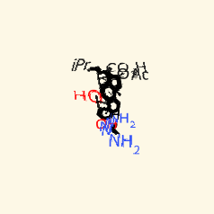 CC(=O)O[C@H]1C[C@@]2(C)[C@@H](C[C@@H](O)[C@H]3[C@@]4(C)CC[C@@H](O)[C@](N)(n5cc(CN)nn5)[C@@H]4CC[C@@]32C)/C1=C(\CCCC(C)C)C(=O)O